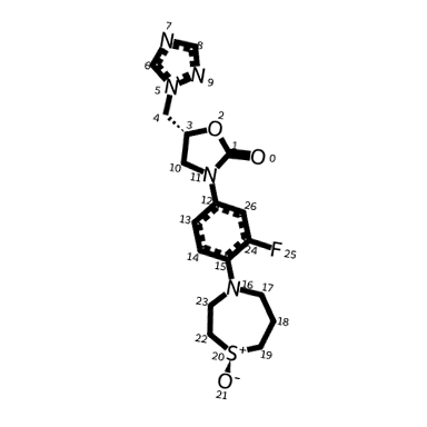 O=C1O[C@@H](Cn2cncn2)CN1c1ccc(N2CCC[S@@+]([O-])CC2)c(F)c1